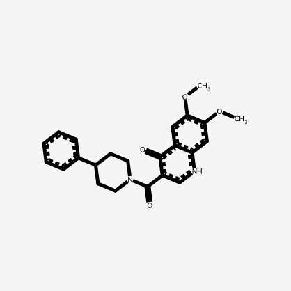 COc1cc2[nH]cc(C(=O)N3CCC(c4ccccc4)CC3)c(=O)c2cc1OC